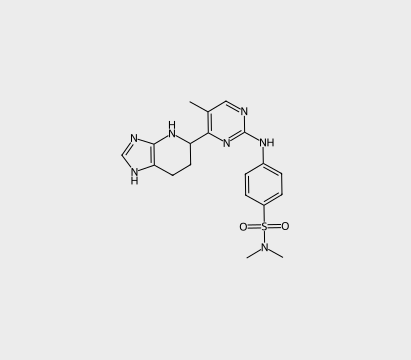 Cc1cnc(Nc2ccc(S(=O)(=O)N(C)C)cc2)nc1C1CCc2[nH]cnc2N1